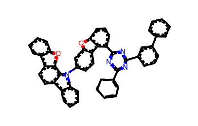 C1=CCCC(c2nc(-c3cccc(-c4ccccc4)c3)nc(-c3cccc4oc5cc(-n6c7ccccc7c7ccc8c9ccccc9oc8c76)ccc5c34)n2)=C1